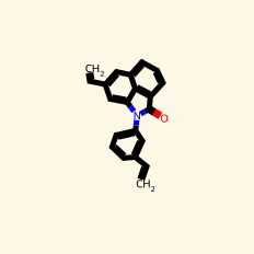 C=Cc1cccc(N2C(=O)c3cccc4cc(C=C)cc2c34)c1